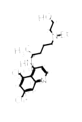 CCN(CCO)CCC[C@@H](C)Nc1ccnc2cc(Cl)cc(Cl)c12